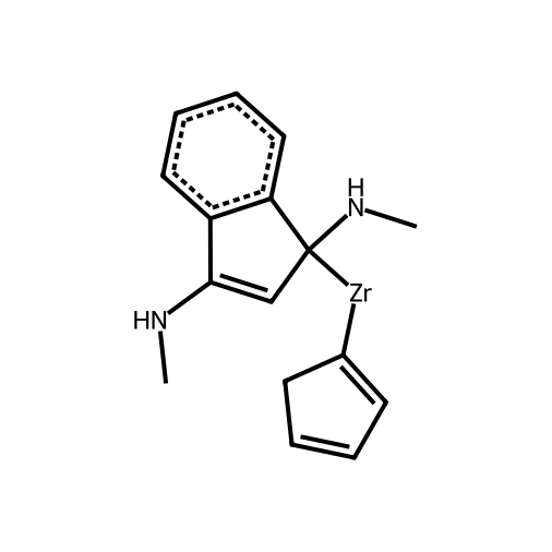 CNC1=C[C](NC)([Zr][C]2=CC=CC2)c2ccccc21